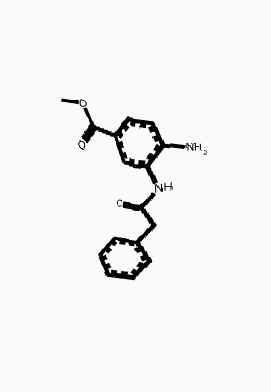 COC(=O)c1ccc(N)c(NC(=O)Cc2ccccc2)c1